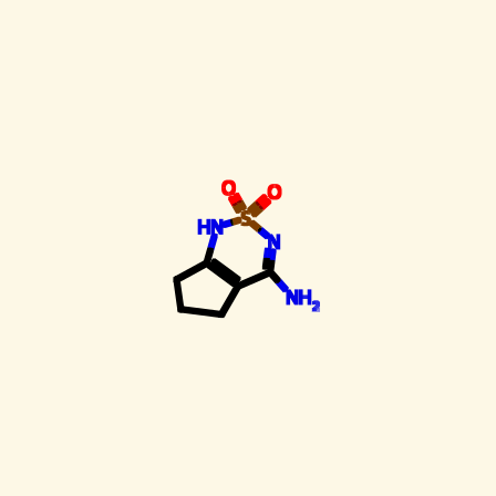 NC1=NS(=O)(=O)NC2=C1CCC2